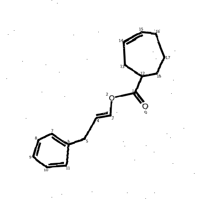 O=C(OC=CCc1ccccc1)C1CC=CCCC1